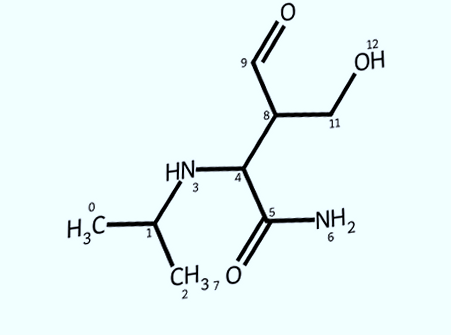 CC(C)NC(C(N)=O)C(C=O)CO